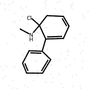 CNC1(Cl)CC=CC=C1c1ccccc1